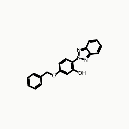 Oc1cc(OCc2ccccc2)ccc1-n1nc2ccccc2n1